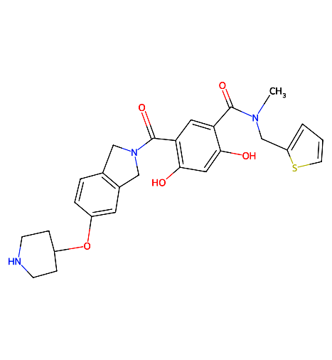 CN(Cc1cccs1)C(=O)c1cc(C(=O)N2Cc3ccc(OC4CCNCC4)cc3C2)c(O)cc1O